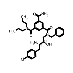 CCCN(CCC)C(=O)c1cc(C(N)=O)cc(C(=O)N(Cc2ccccc2)C[C@@H](O)[C@@H](N)Cc2ccc(Cl)cc2)c1